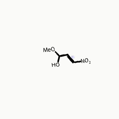 COC(O)/C=C/[N+](=O)[O-]